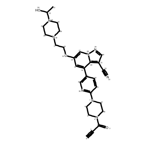 C#CC(=O)N1CCN(c2ccc(-c3cc(OCCN4CCN(C(C)O)CC4)cn4ncc(C#N)c34)cn2)CC1